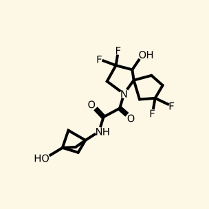 O=C(NC12CC(O)(C1)C2)C(=O)N1CC(F)(F)C(O)C12CCC(F)(F)C2